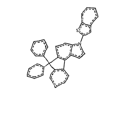 c1ccc(C2(c3ccccc3)c3ccccc3-c3c2ccc2c3ccn2-c2cc3ccccc3s2)cc1